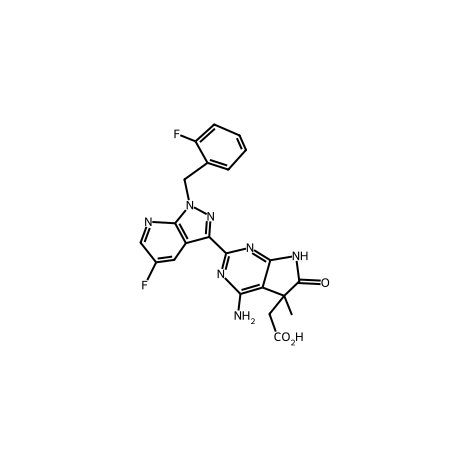 CC1(CC(=O)O)C(=O)Nc2nc(-c3nn(Cc4ccccc4F)c4ncc(F)cc34)nc(N)c21